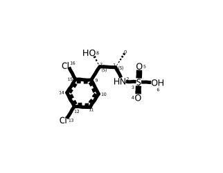 C[C@H](NS(=O)(=O)O)[C@@H](O)c1ccc(Cl)cc1Cl